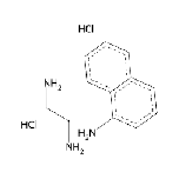 Cl.Cl.NCCN.Nc1cccc2ccccc12